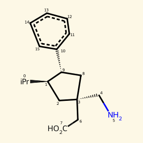 CC(C)[C@@H]1C[C@](CN)(CC(=O)O)C[C@H]1c1ccccc1